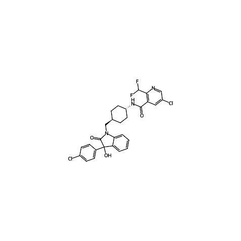 O=C(N[C@H]1CC[C@H](CN2C(=O)C(O)(c3ccc(Cl)cc3)c3ccccc32)CC1)c1cc(Cl)cnc1C(F)F